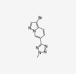 Cn1nnc(-c2ccc3c(Br)cnn3c2)n1